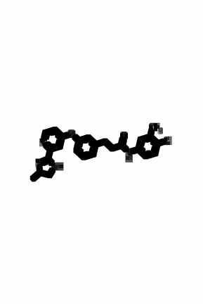 CC1CNC(c2cc(Oc3cccc(CCC(=O)Nc4ccc(Cl)c(C(F)(F)F)c4)c3)ccn2)=N1